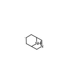 [CH]1CC2C=NCC(C1)N2